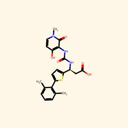 Cc1cccc(C)c1-c1ccc([C@H](CC(=O)O)NC(=O)Nc2c(O)ccn(C)c2=O)s1